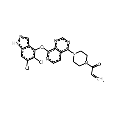 C=CC(=O)N1CCN(c2ncnc3c(Oc4c(Cl)c(Cl)cc5[nH]ncc45)nccc23)CC1